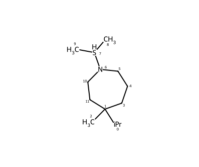 CC(C)C1(C)CCCN([SH](C)C)CC1